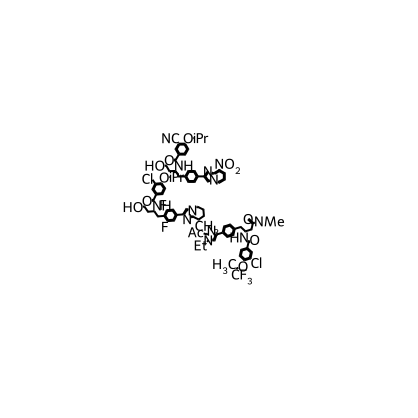 CC(C)Oc1ccc(C(=O)NC(CCO)Cc2c(F)cc(-c3cn4c(n3)C(C)CCC4)cc2F)cc1Cl.CC(C)Oc1ccc(C(=O)NC(CCO)Cc2ccc(-c3cn4cccc([N+](=O)[O-])c4n3)cc2)cc1C#N.CCn1cc(-c2ccc(CC(CC(=O)NC)NC(=O)c3ccc(OC(C)C(F)(F)F)c(Cl)c3)cc2)nc1C(C)=O